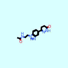 CC(=O)NCCn1nnc2cc(C3=NNC(=O)CC3)ccc21